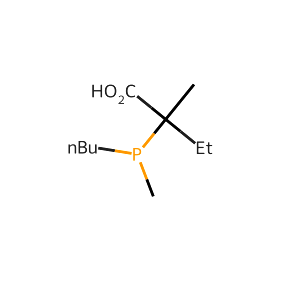 CCCCP(C)C(C)(CC)C(=O)O